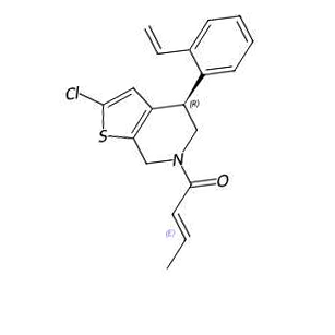 C=Cc1ccccc1[C@H]1CN(C(=O)/C=C/C)Cc2sc(Cl)cc21